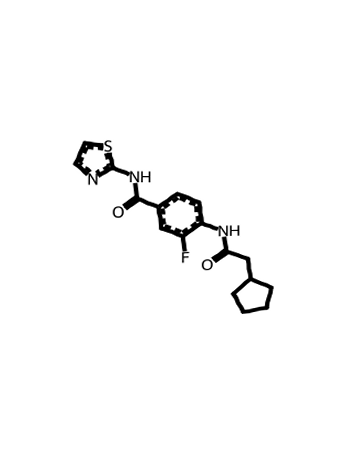 O=C(CC1CCCC1)Nc1ccc(C(=O)Nc2nccs2)cc1F